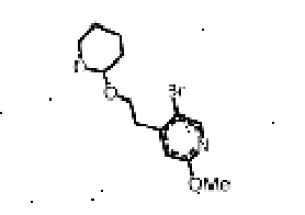 COc1cc(CCO[C@@H]2CCCCO2)c(Br)cn1